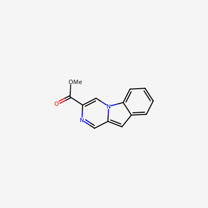 COC(=O)c1cn2c(cn1)cc1ccccc12